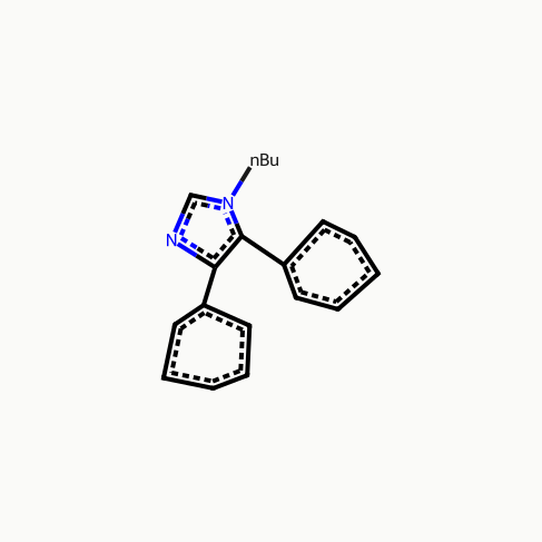 CCCCn1cnc(-c2ccccc2)c1-c1ccccc1